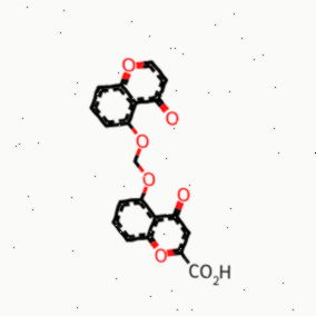 O=C(O)c1cc(=O)c2c(OCOc3cccc4occc(=O)c34)cccc2o1